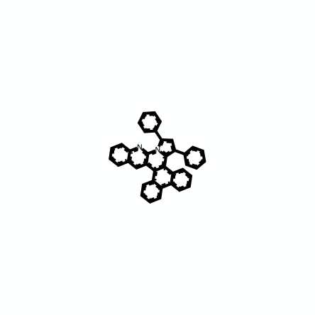 c1ccc(-c2cc(-c3ccccc3)n3c4nc5ccccc5cc4c4c5ccccc5c5ccccc5c4c23)cc1